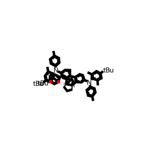 Cc1ccc(N(c2ccc3c(c2)[C@]24CCC[C@@]2(c2cc(N(c5ccc(C)cc5)c5c(C)cc(C(C)(C)C)cc5C)ccc2-3)C(Cc2ccc(C(C)(C)C)cc2)CC4)c2c(C)cc(C(C)(C)C)cc2C)cc1